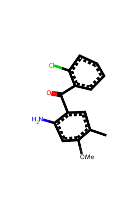 COc1cc(N)c(C(=O)c2ccccc2Cl)cc1C